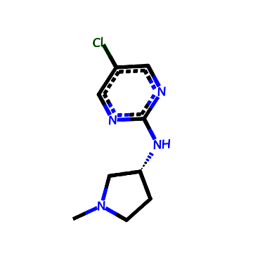 CN1CC[C@@H](Nc2ncc(Cl)cn2)C1